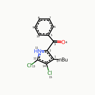 CCCCc1c(C(=O)c2ccccc2)[nH]c(Cl)c1Cl